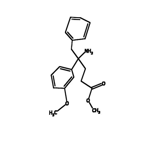 COC(=O)CCC(N)(Cc1ccccc1)c1cccc(OC)c1